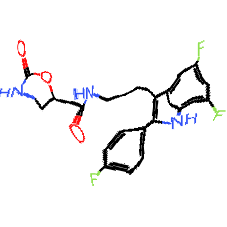 O=C1NCC(C(=O)NCCc2c(-c3ccc(F)cc3)[nH]c3c(F)cc(F)cc23)O1